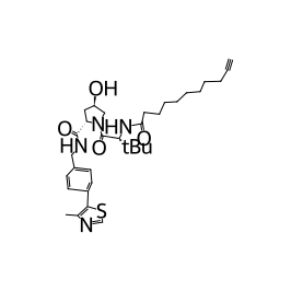 C#CCCCCCCCCC(=O)N[C@H](C(=O)N1C[C@H](O)C[C@H]1C(=O)NCc1ccc(-c2scnc2C)cc1)C(C)(C)C